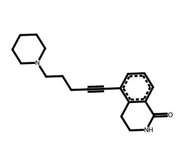 O=C1NCCc2c(C#CCCCN3CCCCC3)cccc21